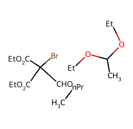 CCCC.CCOC(=O)C(Br)(C=O)C(=O)OCC.CCOC(C)OCC